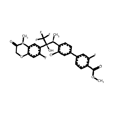 COC(=O)c1ccc(-c2ccc([C@H](C)[C@](O)(c3cc4c(cc3F)OCC(=O)N4C)C(F)(F)F)c(Cl)c2)cc1F